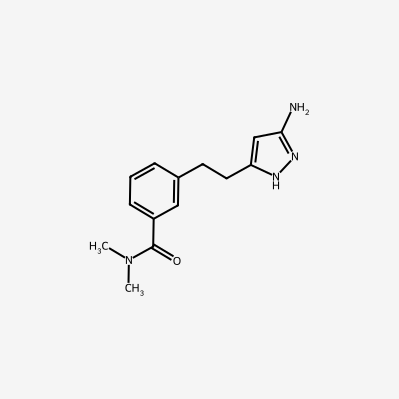 CN(C)C(=O)c1cccc(CCc2cc(N)n[nH]2)c1